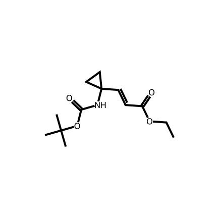 CCOC(=O)C=CC1(NC(=O)OC(C)(C)C)CC1